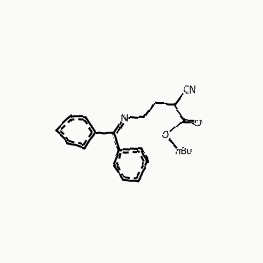 CCCCOC(=O)C(C#N)CCN=C(c1ccccc1)c1ccccc1